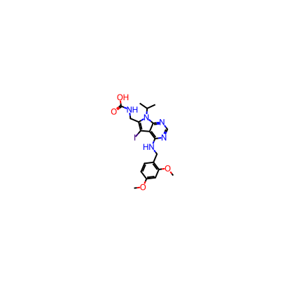 COc1ccc(CNc2ncnc3c2c(I)c(CNC(=O)O)n3C(C)C)c(OC)c1